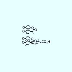 C=C(C)C(=O)OC(=O)/C=C\C(=O)OC(=O)C(=C)C.C=C(C)C(=O)OC(=O)/C=C\C(=O)OC(=O)C(=C)C.C=C(CC(=O)O)C(=O)O